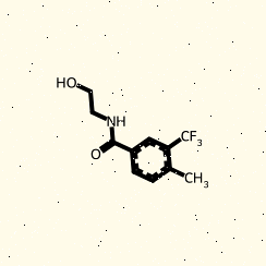 Cc1ccc(C(=O)NCCO)cc1C(F)(F)F